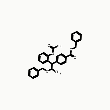 CC(OCc1ccccc1)C(c1ccc(C(=O)OCc2ccccc2)cc1)c1ccccc1OC(=O)C(C)(C)C